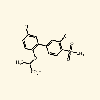 CC(Oc1ccc(Cl)cc1-c1ccc(S(C)(=O)=O)c(Cl)c1)C(=O)O